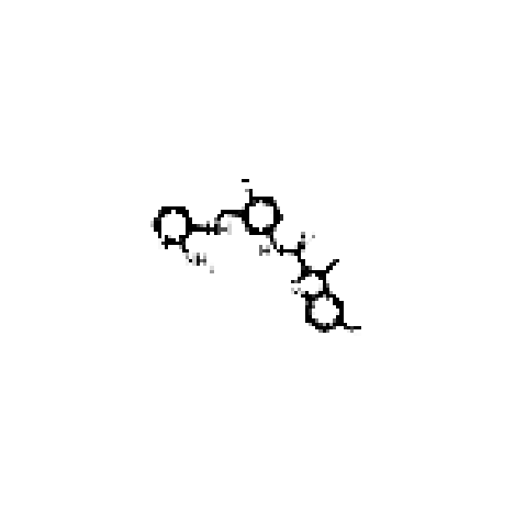 Cc1c(C(=O)Nc2ccc(F)c(CNc3cccnc3N)c2)oc2ccc(F)cc12